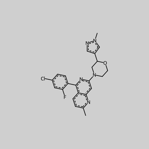 Cc1ccc2c(-c3ccc(Cl)cc3F)nc(N3CCOC(c4cnn(C)c4)C3)cc2n1